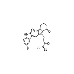 CCN(CC)C(=O)CCc1c(C=C2C(=O)Nc3ccc(F)cc32)[nH]c2c1C(=O)CCC2